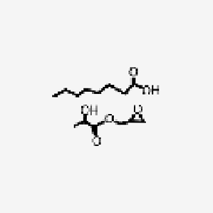 CC(O)C(=O)OCC1CO1.CCCCCCCC(=O)O